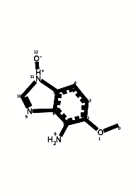 COc1ccc2c(c1N)N=C[NH+]2[O-]